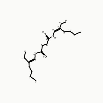 CCCCC(=COC(=O)CCC(=O)OC=C(CC)CCCC)CC